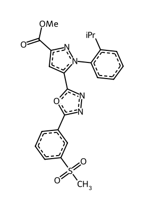 COC(=O)c1cc(-c2nnc(-c3cccc(S(C)(=O)=O)c3)o2)n(-c2ccccc2C(C)C)n1